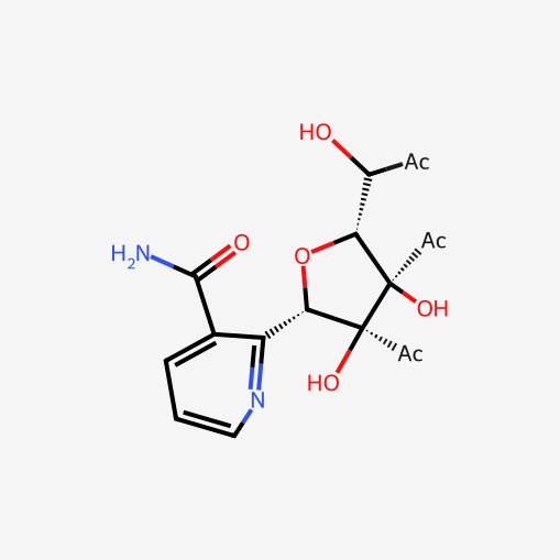 CC(=O)C(O)[C@H]1O[C@@H](c2ncccc2C(N)=O)[C@@](O)(C(C)=O)[C@@]1(O)C(C)=O